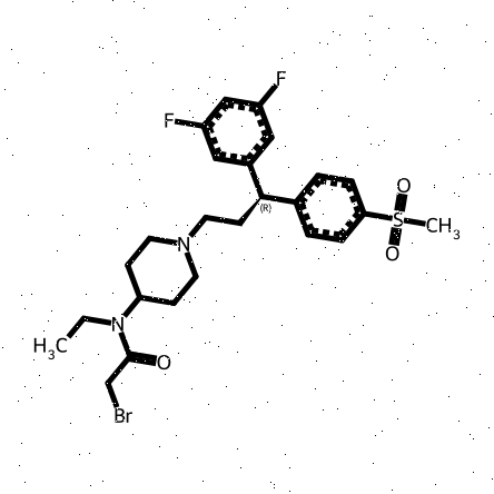 CCN(C(=O)CBr)C1CCN(CC[C@H](c2ccc(S(C)(=O)=O)cc2)c2cc(F)cc(F)c2)CC1